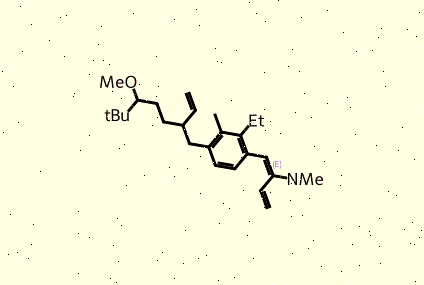 C=C/C(=C\c1ccc(CC(C=C)CCC(OC)C(C)(C)C)c(C)c1CC)NC